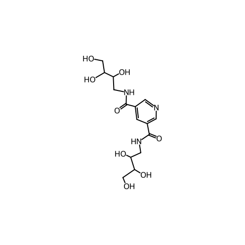 O=C(NCC(O)C(O)CO)c1cncc(C(=O)NCC(O)C(O)CO)c1